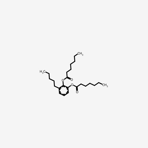 CCCCCCC(=O)Oc1cccc(CCCCC)c1OC(=O)CCCCCC